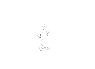 C=N/N=C\N(N)c1ccc(Cl)cc1/C=C/C(=O)N[C@H]1CCCC[C@H](C(=O)OCC)Nc2cc(NC(=O)OC)ccc2-c2cc1c[n+]([O-])c2